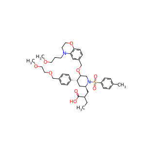 CCC(C[C@H]1C[C@H](c2ccc(COCCOC)cc2)[C@@H](OCc2ccc3c(c2)N(CCCOC)CCO3)CN1S(=O)(=O)c1ccc(C)cc1)C(=O)O